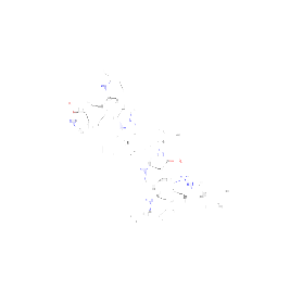 Cc1ccc(-c2cnn(CC3(C)CCC(C4c5ncc(-c6nc(C#N)ccc6-c6cnn(CC7(C)CCCC7)c6)cc5C(=O)N4C4CC4)C3)c2)c(-c2ccc3c(c2)C(=O)NC3)n1